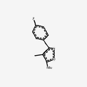 CCCCc1onc(-c2ccc(F)cc2)c1C